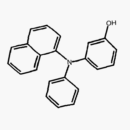 Oc1cccc(N(c2ccccc2)c2cccc3ccccc23)c1